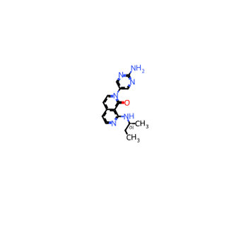 CC[C@H](C)Nc1nccc2ccn(-c3cnc(N)nc3)c(=O)c12